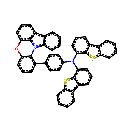 c1cc2c(c(-c3ccc(N(c4cccc5c4sc4ccccc45)c4cccc5c4sc4ccccc45)cc3)c1)-n1c3ccccc3c3cccc(c31)O2